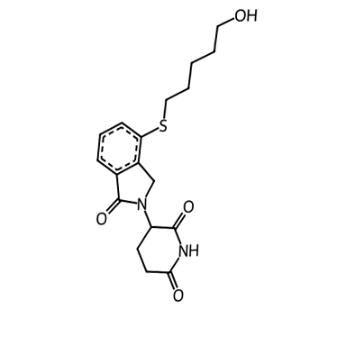 O=C1CCC(N2Cc3c(SCCCCCO)cccc3C2=O)C(=O)N1